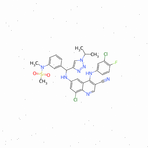 CC(C)n1cc(C(Nc2cc(Cl)c3ncc(C#N)c(Nc4ccc(F)c(Cl)c4)c3c2)c2cccc(N(C)S(C)(=O)=O)c2)nn1